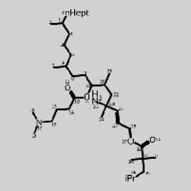 CCCCCCCC(C)CCCC(C)CCC(OC(=O)CCCN(C)C)C(C)CC(C)(N)/C=C/COC(=O)C(C)(C)CC(C)C